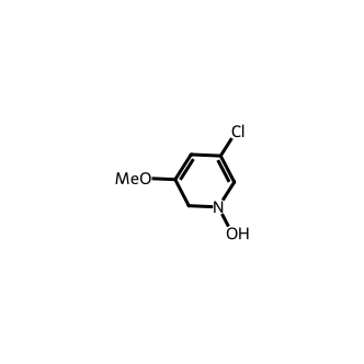 COC1=CC(Cl)=CN(O)C1